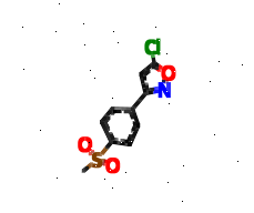 CS(=O)(=O)c1ccc(-c2cc(Cl)on2)cc1